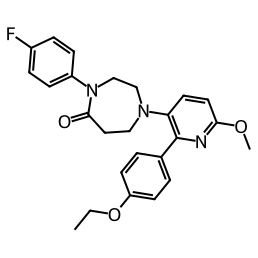 CCOc1ccc(-c2nc(OC)ccc2N2CCC(=O)N(c3ccc(F)cc3)CC2)cc1